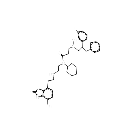 O=C(O)N(CCC(=O)N(CCNCCc1ccc(O)c2[nH]c(=O)sc12)C1CCCCC1)CC(Cc1ccccc1)c1cccc(F)c1